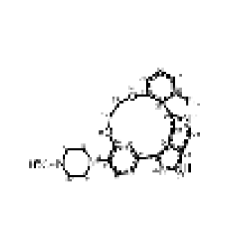 CN1CCN(c2ccc3cc2OCCOc2cccc(F)c2-c2cc4c-3n[nH]c4cn2)CC1